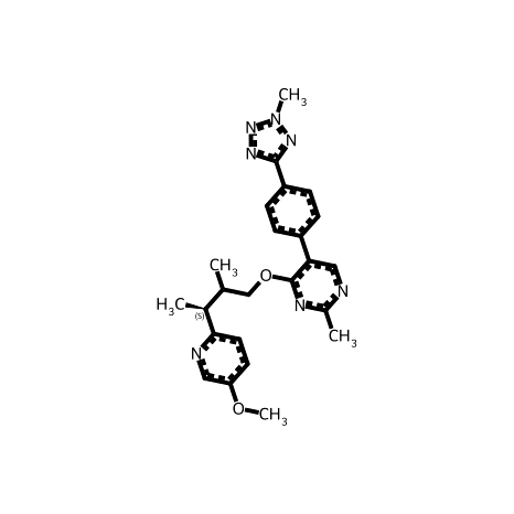 COc1ccc([C@@H](C)C(C)COc2nc(C)ncc2-c2ccc(-c3nnn(C)n3)cc2)nc1